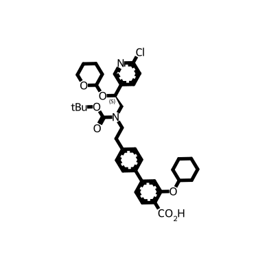 CC(C)(C)OC(=O)N(CCc1ccc(-c2ccc(C(=O)O)c(OC3CCCCC3)c2)cc1)C[C@@H](OC1CCCCO1)c1ccc(Cl)nc1